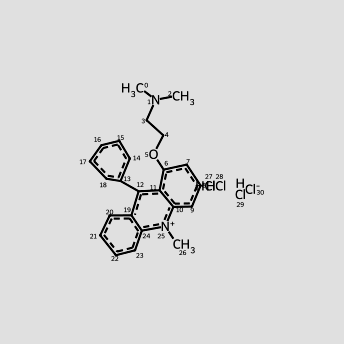 CN(C)CCOc1cccc2c1c(-c1ccccc1)c1ccccc1[n+]2C.Cl.Cl.Cl.[Cl-]